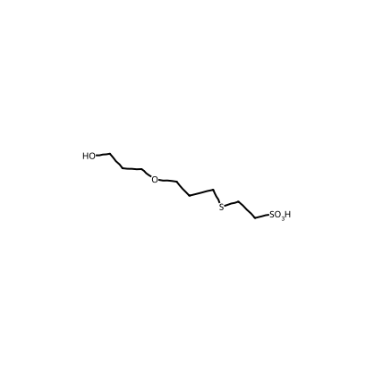 O=S(=O)(O)CCSCCCOCCCO